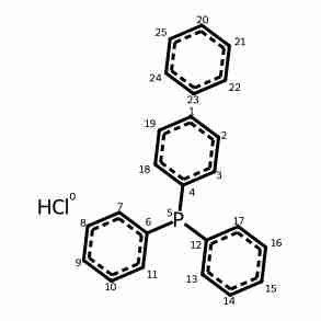 Cl.c1ccc(P(c2ccccc2)c2ccccc2)cc1.c1ccccc1